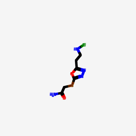 NC(=O)CSc1nnc(CCNCl)o1